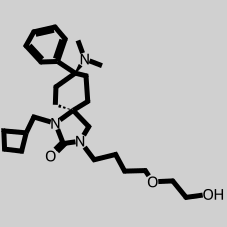 CN(C)[C@]1(c2ccccc2)CC[C@]2(CC1)CN(CCCCOCCO)C(=O)N2CC1CCC1